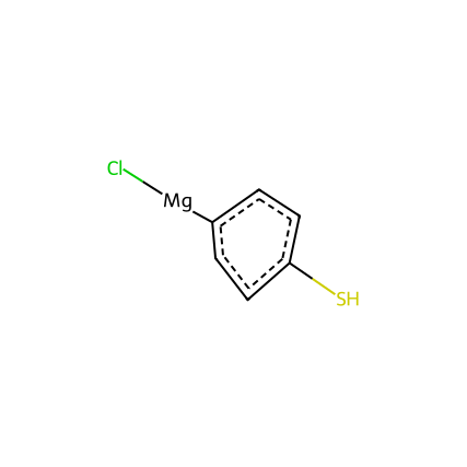 Sc1cc[c]([Mg][Cl])cc1